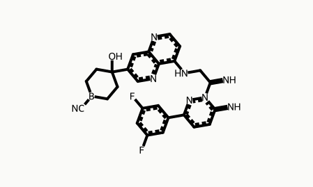 N#CB1CCC(O)(c2cnc3c(NCC(=N)n4nc(-c5cc(F)cc(F)c5)ccc4=N)ccnc3c2)CC1